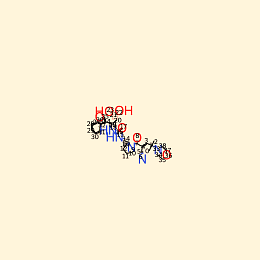 CC(C)(C=C(C#N)C(=O)N1CCC[C@@H]1CNC(=O)N[C@H](CB(O)O)c1coc2ccccc12)N1CCOCC1